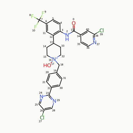 O=C(Nc1ccc(C(F)(F)F)cc1C1CC[N+](O)(Cc2ccc(-c3ncc(Cl)cn3)cc2)CC1)c1ccnc(Cl)c1